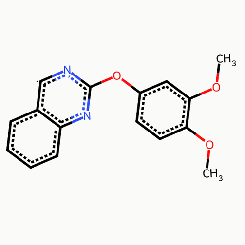 COc1ccc(Oc2n[c]c3ccccc3n2)cc1OC